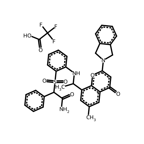 Cc1cc(C(C)Nc2ccccc2S(=O)(=O)C(C(N)=O)c2ccccc2)c2oc(N3Cc4ccccc4C3)cc(=O)c2c1.O=C(O)C(F)(F)F